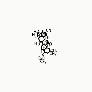 CC1(C)C[C@@H](COC(=O)C(F)(F)F)[C@H]2CC[C@]3(C)[C@H](C(=O)C[C@@H]4[C@@]5(C)C=C(C#N)C(=O)C(C)(C)[C@@H]5CC[C@]43C)[C@H]2C1